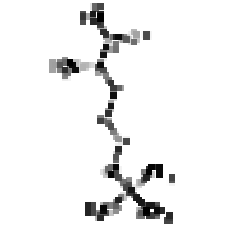 CC(C)(C)OCCC[C@H](N)C(=O)O